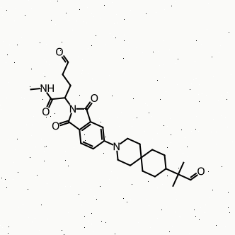 CNC(=O)C(CCC=O)N1C(=O)c2ccc(N3CCC4(CCC(C(C)(C)C=O)CC4)CC3)cc2C1=O